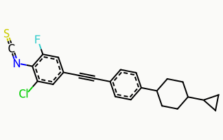 Fc1cc(C#Cc2ccc(C3CCC(C4CC4)CC3)cc2)cc(Cl)c1N=C=S